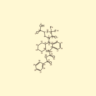 O=C(O)CCN(C(=O)C(F)(F)F)N(c1ccccc1NC(=O)OC(=O)c1ccccc1)C1CCCCC1